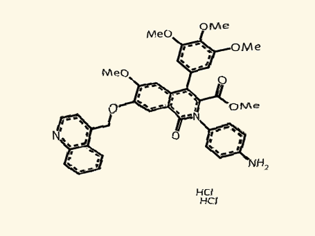 COC(=O)c1c(-c2cc(OC)c(OC)c(OC)c2)c2cc(OC)c(OCc3ccnc4ccccc34)cc2c(=O)n1-c1ccc(N)cc1.Cl.Cl